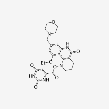 CCOc1cc(CN2CCOCC2)cc2[nH]c(=O)c3c(c12)N(OC(=O)c1cc(=O)[nH]c(=O)[nH]1)CCC3